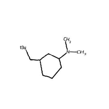 CN(C)C1CCCC(CC(C)(C)C)C1